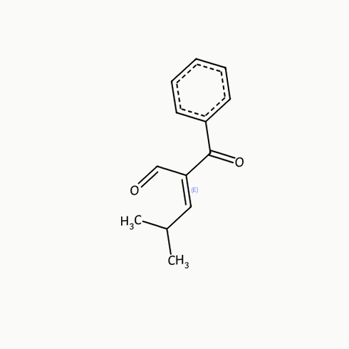 CC(C)/C=C(\C=O)C(=O)c1ccccc1